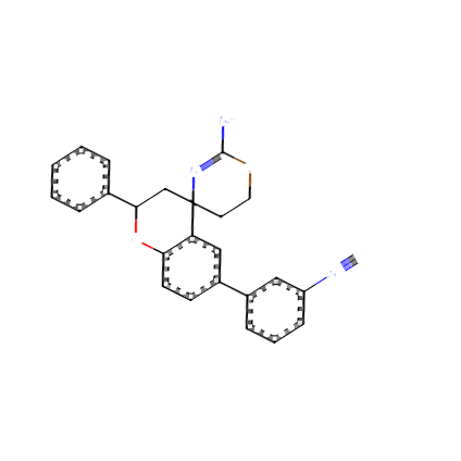 [C-]#[N+]c1cccc(-c2ccc3c(c2)C2(CCSC(N)=N2)CC(c2ccccc2)O3)c1